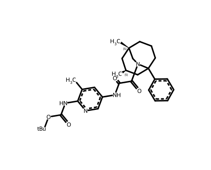 Cc1cc(NC(=O)C(=O)N2C[C@@]3(C)CCCC2(c2ccccc2)C[C@@H](C)C3)cnc1NC(=O)OC(C)(C)C